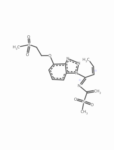 C=C(/N=C(\C=C/C)n1nnc2c(OCCS(C)(=O)=O)cccc21)S(C)(=O)=O